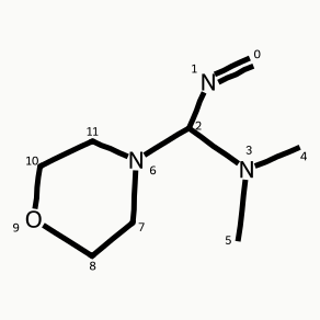 C=NC(N(C)C)N1CCOCC1